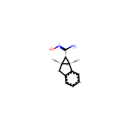 N/C(=N/O)[C@H]1[C@@H]2Cc3ccccc3[C@@H]21